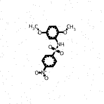 COc1ccc(OC)c(NS(=O)(=O)c2ccc([N+](=O)[O-])cc2)c1